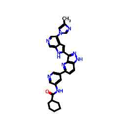 Cc1cn(-c2cncc3[nH]c(-c4n[nH]c5ccc(-c6cncc(NC(=O)C7CCCCC7)c6)nc45)cc23)cn1